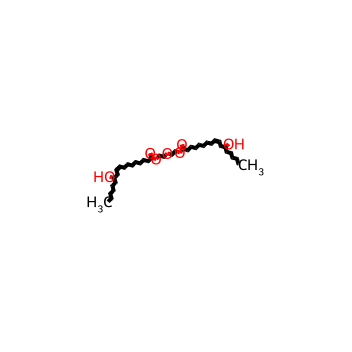 CCCCCCC(O)C/C=C\CCCCCCCC(=O)OCCOCCOC(=O)CCCCCCC/C=C\CC(O)CCCCCC